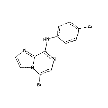 Clc1ccc(Nc2ncc(Br)n3ccnc23)cc1